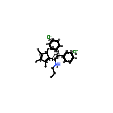 CCC[NH][Hf+2]([C]1=C(C)C(C)=C(C)C1C)[SiH](c1ccccc1)c1ccccc1.[Cl-].[Cl-]